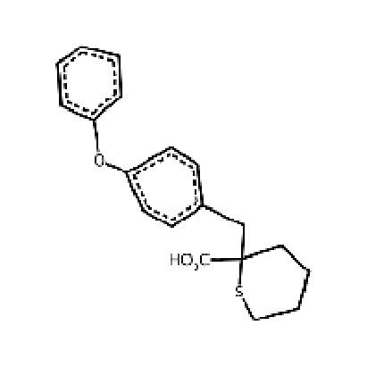 O=C(O)C1(Cc2ccc(Oc3ccccc3)cc2)CCCCS1